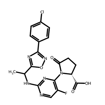 CC(Nc1ncc(F)c(N2C(=O)CC[C@@H]2C(=O)O)n1)c1nc(-c2ccc(Cl)cc2)no1